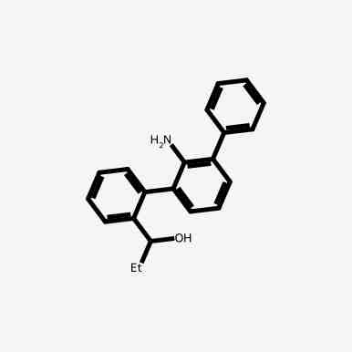 CCC(O)c1ccccc1-c1cccc(-c2ccccc2)c1N